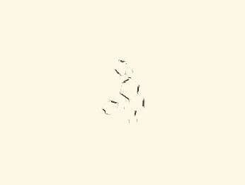 O=c1ccc2ccccc2o1.c1ccoc1.c1ccoc1